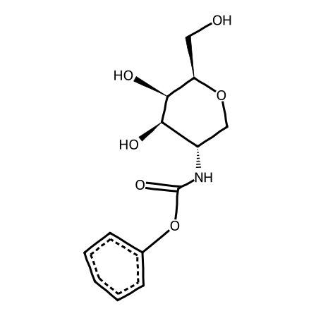 O=C(N[C@H]1CO[C@H](CO)[C@H](O)[C@@H]1O)Oc1ccccc1